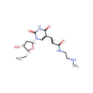 CC[C@H]1O[C@@H](n2cc(/C=C/C(=O)NCCNC)c(=O)[nH]c2=O)C[C@H]1O